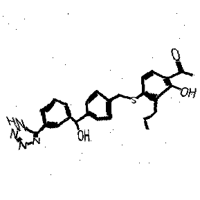 CCCc1c(SCc2ccc(C(O)c3cccc(-c4nnn[nH]4)c3)cc2)ccc(C(C)=O)c1O